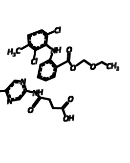 CCOCOC(=O)c1ccccc1Nc1c(Cl)ccc(C)c1Cl.O=C(O)CCC(=O)Nc1cnc(Cl)cn1